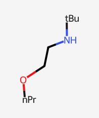 CCCOCCNC(C)(C)C